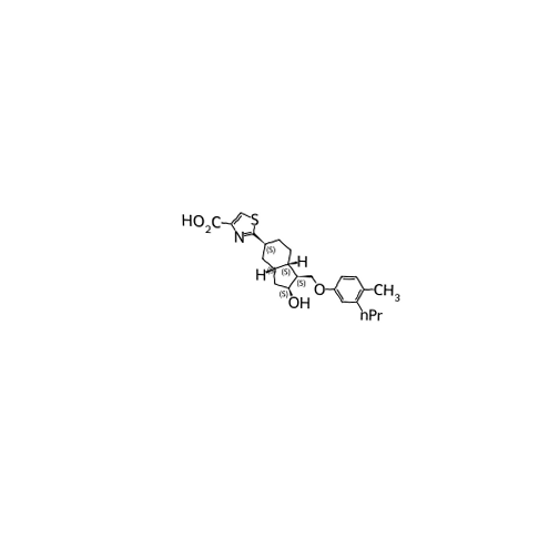 CCCc1cc(OC[C@@H]2[C@H]3CC[C@H](c4nc(C(=O)O)cs4)C[C@H]3C[C@@H]2O)ccc1C